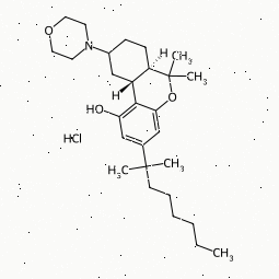 CCCCCCC(C)(C)c1cc(O)c2c(c1)OC(C)(C)[C@@H]1CCC(N3CCOCC3)C[C@@H]21.Cl